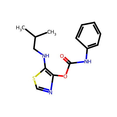 CC(C)CNc1scnc1OC(=O)Nc1ccccc1